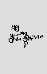 COCC(=O)O[C@]1(CCN(C)[C@@H](C)CCCCc2nc3ccccc3[nH]2)CCc2cc(F)ccc2[C@@H]1C(C)C.Cl.Cl